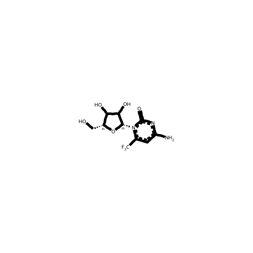 Nc1cc(C(F)(F)F)n([C@@H]2O[C@H](CO)C(O)C2O)c(=O)n1